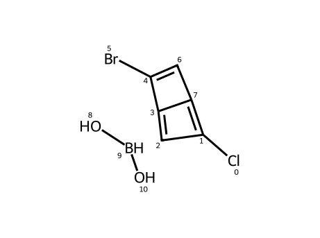 Clc1cc2c(Br)cc1-2.OBO